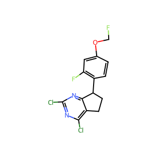 FCOc1ccc(C2CCc3c(Cl)nc(Cl)nc32)c(F)c1